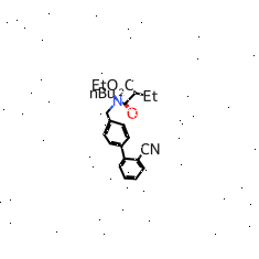 CCCCN(Cc1ccc(-c2ccccc2C#N)cc1)C(=O)C(CC)C(=O)OCC